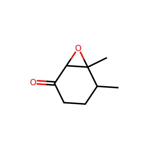 CC1CCC(=O)C2OC12C